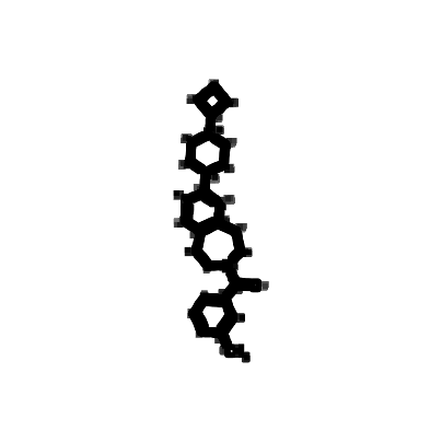 Cc1cccc(C(=O)N2CCc3cnc(N4CCN(C5CCC5)CC4)nc3CC2)c1